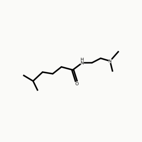 CC(C)CCCC(=O)NCCN(C)C